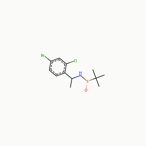 CC(N[S@@+]([O-])C(C)(C)C)c1ccc(Br)cc1Cl